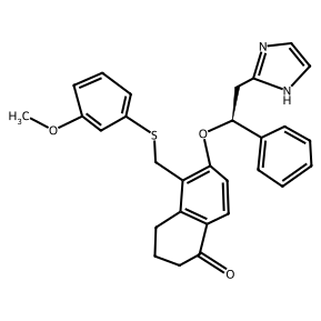 COc1cccc(SCc2c(O[C@@H](Cc3ncc[nH]3)c3ccccc3)ccc3c2CCCC3=O)c1